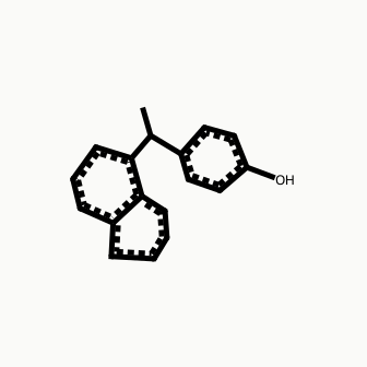 C[C](c1ccc(O)cc1)c1cccc2ccccc12